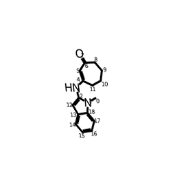 Cn1c(NC2=CC(=O)CCCC2)cc2ccccc21